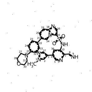 Cn1cc(-c2cnc(C=N)c(NS(=O)(=O)c3cnc4ccc(-c5ccc(N6CCOCC6)cc5)cn34)c2)cn1